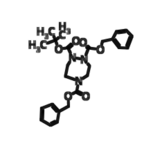 CC(C)(C)OC(=O)N1CCN(C(=O)OCc2ccccc2)CCN1C(=O)OCc1ccccc1